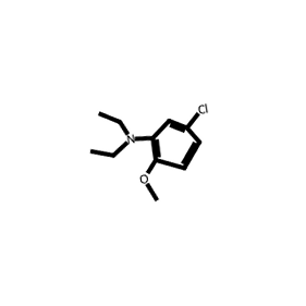 CCN(CC)c1cc(Cl)ccc1OC